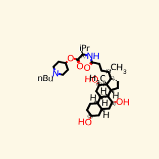 CCCCN1CCC(OC(=O)[C@H](NC(=O)CC[C@H](C)[C@@H]2CC[C@@H]3[C@@H]4[C@@H](C[C@@H](O)[C@]32C)[C@@H]2CC[C@H](O)C[C@@H]2C[C@@H]4O)C(C)C)CC1